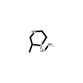 CC1CNCCN1.CCCN